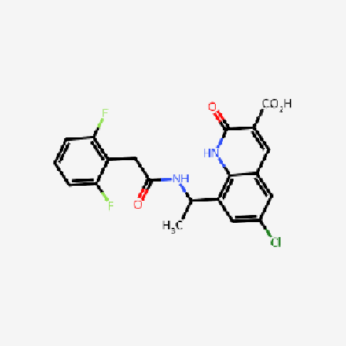 CC(NC(=O)Cc1c(F)cccc1F)c1cc(Cl)cc2cc(C(=O)O)c(=O)[nH]c12